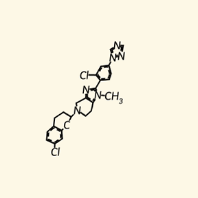 Cn1c(-c2ccc(-n3cncn3)cc2Cl)nc2c1CCN(C1CCc3ccc(Cl)cc3C1)C2